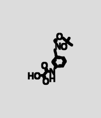 CC(C)(C)ON(C=O)Cc1cccc(NC(=O)C(=O)O)c1